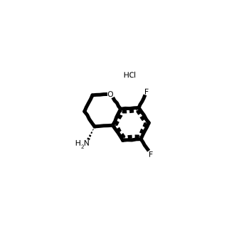 Cl.N[C@@H]1CCOc2c(F)cc(F)cc21